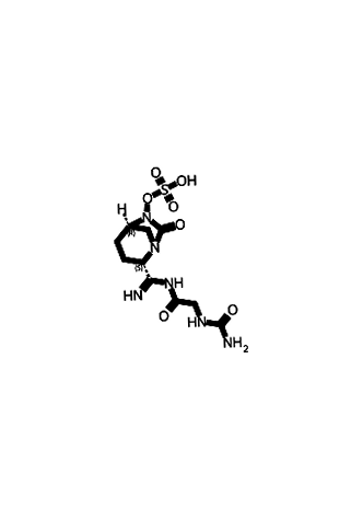 N=C(NC(=O)CNC(N)=O)[C@@H]1CC[C@@H]2CN1C(=O)N2OS(=O)(=O)O